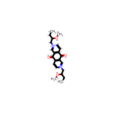 CCC(C[n+]1ccc2c(c1)C(=O)c1cc[n+](CC(CC)OC)cc1C2=O)OC